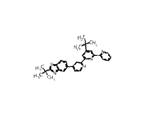 CC(C)(C)c1cc(-c2ccccn2)nc(-c2cc(-c3ccc4sc(C(C)(C)C)nc4c3)ccn2)c1